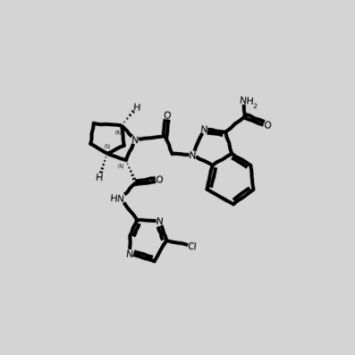 NC(=O)c1nn(CC(=O)N2[C@@H]3CC[C@@H](C3)[C@H]2C(=O)Nc2cncc(Cl)n2)c2ccccc12